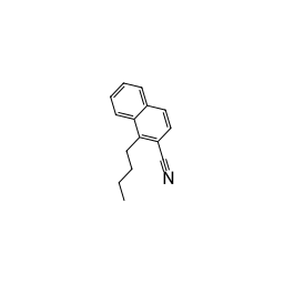 CCCCc1c(C#N)ccc2ccccc12